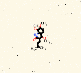 COc1ccc2c(OC)c(/C=C/C(C)C)c(=O)[nH]c2c1OC